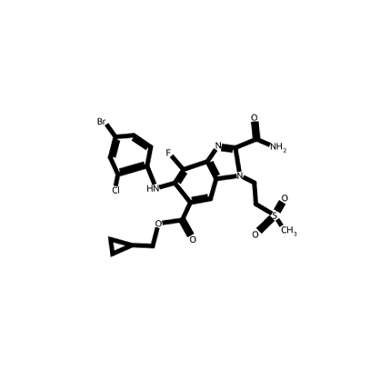 CS(=O)(=O)CCn1c(C(N)=O)nc2c(F)c(Nc3ccc(Br)cc3Cl)c(C(=O)OCC3CC3)cc21